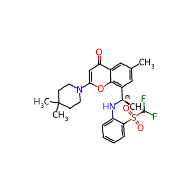 Cc1cc([C@@H](C)Nc2ccccc2S(=O)(=O)C(F)F)c2oc(N3CCC(C)(C)CC3)cc(=O)c2c1